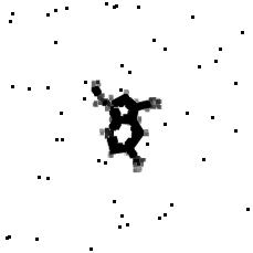 CCc1cn(SI)c2ncc(Br)cc12